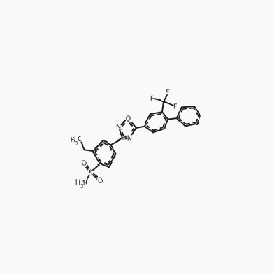 CCc1cc(-c2noc(-c3ccc(-c4ccccc4)c(C(F)(F)F)c3)n2)ccc1S(N)(=O)=O